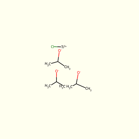 CC(C)[O-].CC(C)[O-].CC(C)[O-].[Cl][Ti+3]